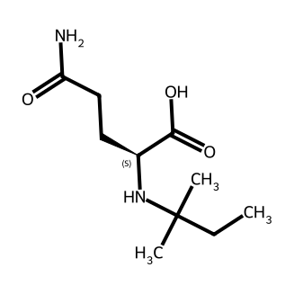 CCC(C)(C)N[C@@H](CCC(N)=O)C(=O)O